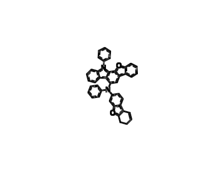 C1=Cc2c(oc3cc(N(c4ccccc4)c4cc5c6ccccc6oc5c5c4c4ccccc4n5-c4ccccc4)ccc23)CC1